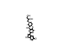 OC[C@H](O)CN1CCC[C@H](Nc2nc(-c3c[nH]c4ncc(Cl)cc34)ncc2F)C1